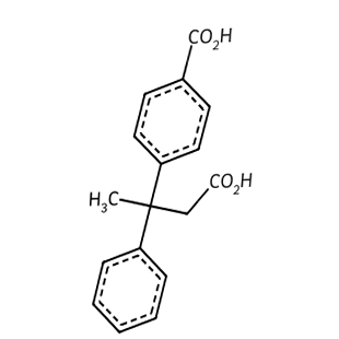 CC(CC(=O)O)(c1ccccc1)c1ccc(C(=O)O)cc1